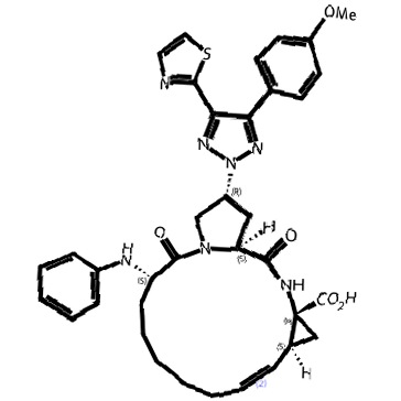 COc1ccc(-c2nn([C@@H]3C[C@H]4C(=O)N[C@]5(C(=O)O)C[C@H]5/C=C\CCCCC[C@H](Nc5ccccc5)C(=O)N4C3)nc2-c2nccs2)cc1